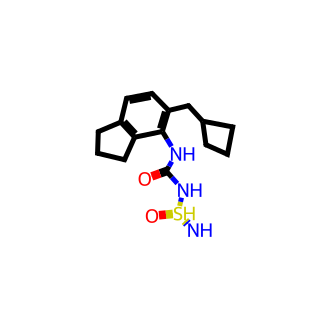 N=[SH](=O)NC(=O)Nc1c(CC2CCC2)ccc2c1CCC2